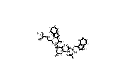 CC(=O)N[C@@H](Cc1c[nH]c2ccccc12)C(=O)N[C@@H](CC(C)C)C(=O)N[C@@H](CCCNC(=N)N)C(=O)c1nc2ccccc2s1